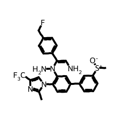 Cc1nc(C(F)(F)F)cn1-c1ccc(-c2cccc([S+](C)[O-])c2)cc1N(N)/C(=C\N)c1ccc(CF)cc1